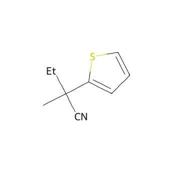 CCC(C)(C#N)c1cccs1